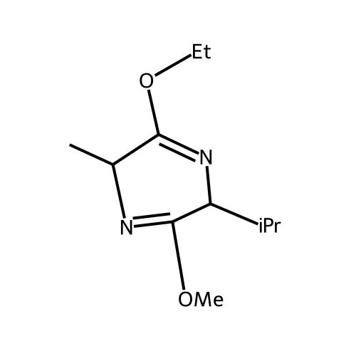 CCOC1=NC(C(C)C)C(OC)=NC1C